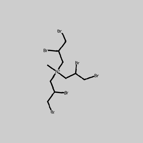 C[N+](CC(Br)CBr)(CC(Br)CBr)CC(Br)CBr